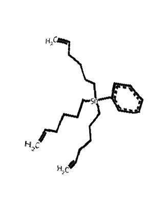 C=CCCC[CH2][Sn]([CH2]CCCC=C)([CH2]CCCC=C)[c]1ccccc1